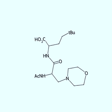 CC(=O)NC(CN1CCOCC1)C(=O)NC(CCC(C)(C)C)C(=O)O